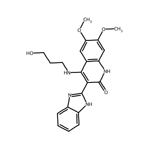 COc1cc2[nH]c(=O)c(-c3nc4ccccc4[nH]3)c(NCCCO)c2cc1OC